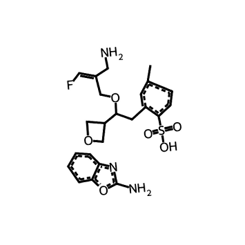 Cc1ccc(S(=O)(=O)O)c(CC(OC/C(=C\F)CN)C2COC2)c1.Nc1nc2ccccc2o1